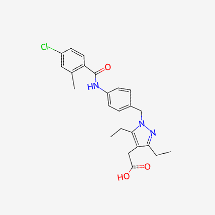 CCc1nn(Cc2ccc(NC(=O)c3ccc(Cl)cc3C)cc2)c(CC)c1CC(=O)O